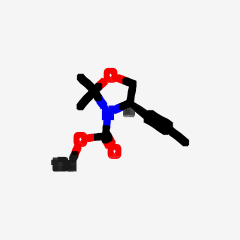 CC#C[C@@H]1COC(C)(C)N1C(=O)OC(C)(C)C